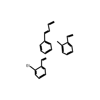 C=CC=Cc1ccccc1.C=Cc1ccccc1C.C=Cc1ccccc1CC